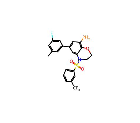 Cc1cc(F)cc(-c2cc(P)c3c(c2)N(S(=O)(=O)c2cccc(C(F)(F)F)c2)CCO3)c1